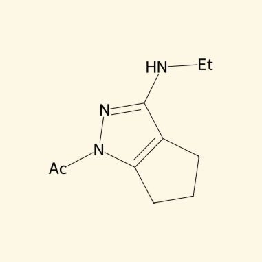 CCNc1nn(C(C)=O)c2c1CCC2